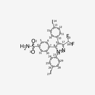 NS(=O)(=O)c1ccc(-c2c(-c3ccc(I)cc3)c(C(F)F)nn2-c2ccc(I)cc2)cc1